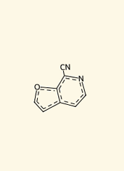 N#Cc1nccc2ccoc12